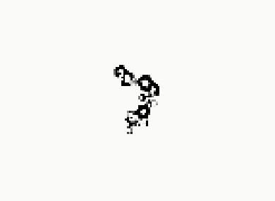 O=C1COc2cc(S(=O)(=O)n3ccc4ccc(N5CCN6CCCC6C5)cc43)ccc2N1